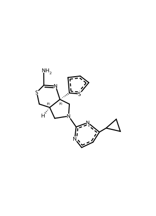 NC1=N[C@@]2(c3cccs3)CN(c3nccc(C4CC4)n3)C[C@H]2CS1